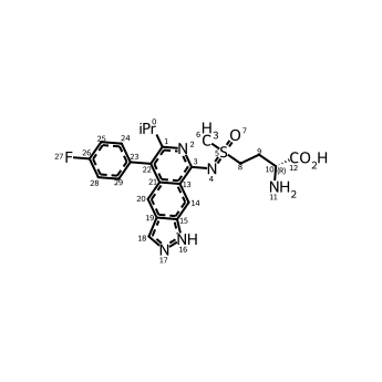 CC(C)c1nc(N=S(C)(=O)CC[C@@H](N)C(=O)O)c2cc3[nH]ncc3cc2c1-c1ccc(F)cc1